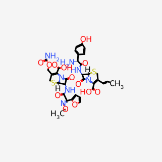 C/C=C/C1=C(C(=O)O)N2C(=O)[C@@H](NC(=O)[C@H](N)c3ccc(O)cc3)[C@H]2SC1.CO/N=C(/C(=O)N[C@@H]1C(=O)N2C(C(=O)O)=C(COC(N)=O)CS[C@H]12)c1ccco1